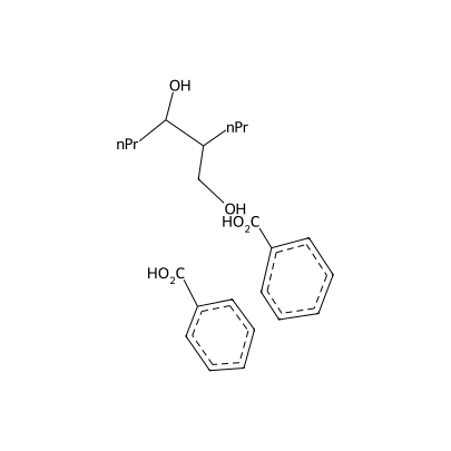 CCCC(O)C(CO)CCC.O=C(O)c1ccccc1.O=C(O)c1ccccc1